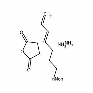 C=C/C=C/CCCCCCCCCCCC.N.N.O=C1CCC(=O)O1